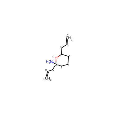 C=CCC1CCC[Si](N)(CC=C)O1